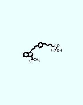 CC(=O)c1cn(CCCc2ccc(CCCCOP(=O)(O)O)cc2)c2ccccc12